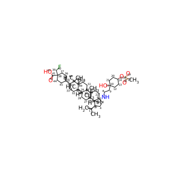 C=C(C)[C@@H]1CC[C@]2(NCCC3(O)CCC(OS(C)(=O)=O)CC3)CC[C@]3(C)[C@H](CC[C@@H]4[C@@]5(C)CC=C(C6=CCC(CF)(C(=O)O)CC6)C(C)(C)[C@@H]5CC[C@]43C)[C@@H]12